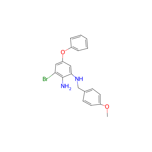 COc1ccc(CNc2cc(Oc3ccccc3)cc(Br)c2N)cc1